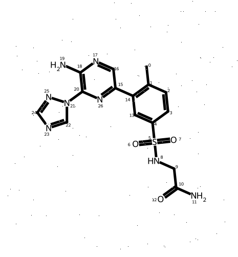 Cc1ccc(S(=O)(=O)NCC(N)=O)cc1-c1cnc(N)c(-n2cncn2)n1